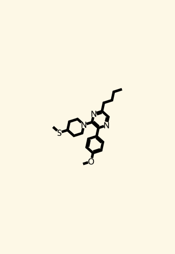 CCCCc1cnc(-c2ccc(OC)cc2)c(N2CCC(SC)CC2)n1